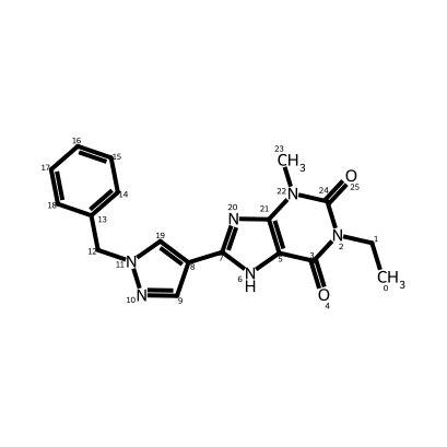 CCn1c(=O)c2[nH]c(-c3cnn(Cc4ccccc4)c3)nc2n(C)c1=O